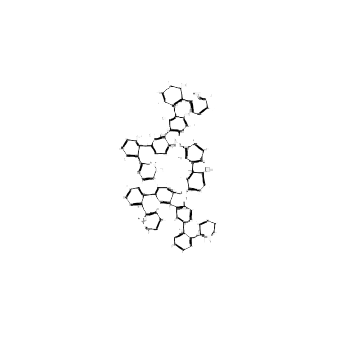 C1=CC(c2ccccc2-c2ccc3c(c2)c2cc(-c4ccccc4-c4ccccn4)ccc2n3-c2ccc3[pH]c4ccc(-n5c6ccc(C7=C(c8ccccn8)CCC=C7)cc6c6cc(-c7ccccc7-c7ccccn7)ccc65)cc4c3c2)=NCC1